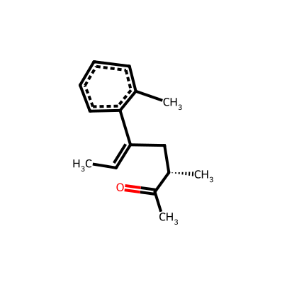 C/C=C(/C[C@H](C)C(C)=O)c1ccccc1C